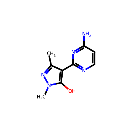 Cc1nn(C)c(O)c1-c1nccc(N)n1